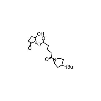 CC(C)(C)C1CCN(C(=O)CCCC(=O)ON2C(=O)CCC2O)CC1